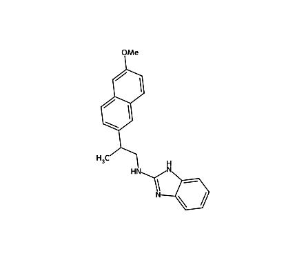 COc1ccc2cc(C(C)CNc3nc4ccccc4[nH]3)ccc2c1